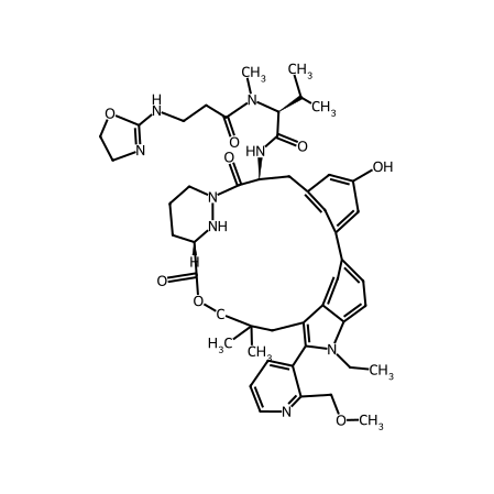 CCn1c(-c2cccnc2COC)c2c3cc(ccc31)-c1cc(O)cc(c1)C[C@H](NC(=O)[C@H](C(C)C)N(C)C(=O)CCNC1=NCCO1)C(=O)N1CCC[C@H](N1)C(=O)OCC(C)(C)C2